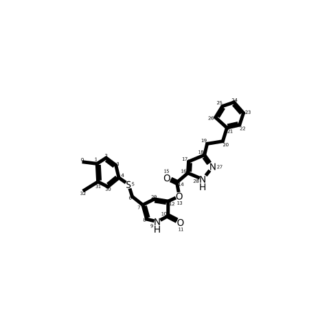 Cc1ccc(SCc2c[nH]c(=O)c(OC(=O)c3cc(CCc4ccccc4)n[nH]3)c2)cc1C